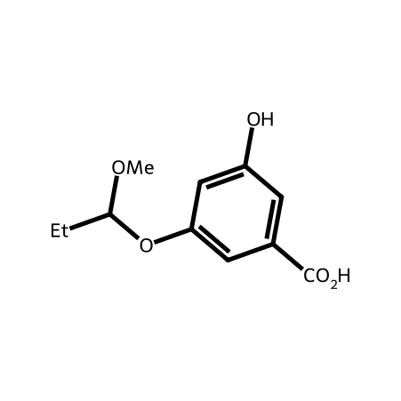 CCC(OC)Oc1cc(O)cc(C(=O)O)c1